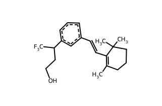 CC1=C(C=Cc2cccc(C(CCO)C(F)(F)F)c2)C(C)(C)CCC1